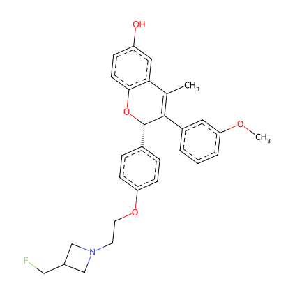 COc1cccc(C2=C(C)c3cc(O)ccc3O[C@H]2c2ccc(OCCN3CC(CF)C3)cc2)c1